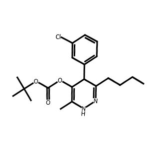 CCCCC1=NNC(C)=C(OC(=O)OC(C)(C)C)C1c1cccc(Cl)c1